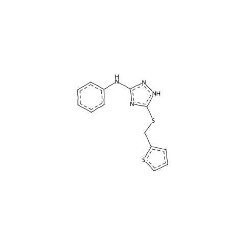 c1ccc(Nc2n[nH]c(SCc3cccs3)n2)cc1